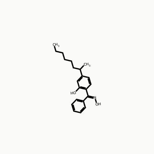 CCCCCCC(C)c1ccc(C(=NO)c2ccccc2)c(O)c1